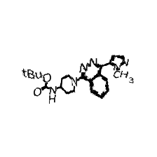 Cn1nccc1-c1nnc(N2CCC(NC(=O)OC(C)(C)C)CC2)c2ccccc12